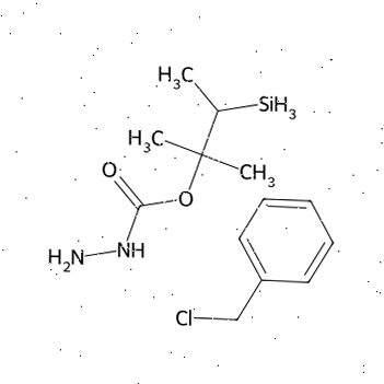 CC([SiH3])C(C)(C)OC(=O)NN.ClCc1ccccc1